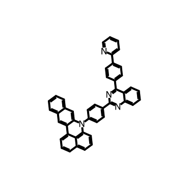 c1ccc(-c2ccc(-c3nc(-c4ccc(N5c6cc7ccccc7cc6-c6cccc7cccc5c67)cc4)nc4ccccc34)cc2)nc1